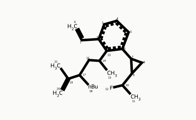 C=Cc1cccc(C2CC2C(C)F)c1C(C)CC(CCCC)C(=C)C